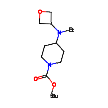 CCN(C1CCN(C(=O)OC(C)(C)C)CC1)C1COC1